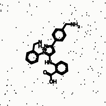 NCc1ccc(-c2cc(Nc3ccccc3C(=O)O)n(-c3ccccc3CN)n2)cc1